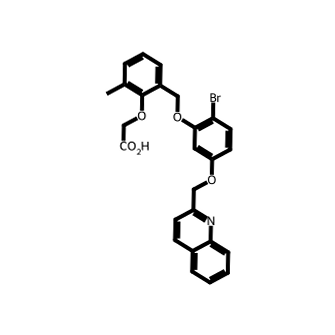 Cc1cccc(COc2cc(OCc3ccc4ccccc4n3)ccc2Br)c1OCC(=O)O